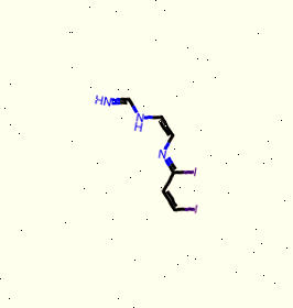 N=CN\C=C/N=C(I)/C=C\I